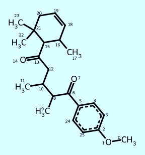 COc1ccc(C(=O)C(C)C(C)CC(=O)C2C(C)C=CCC2(C)C)cc1